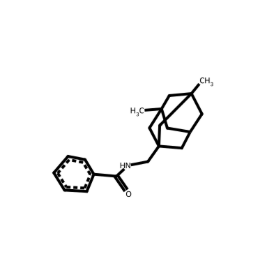 CC12CC3CC(C)(C1)CC(CNC(=O)c1ccccc1)(C3)C2